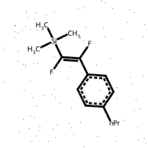 CCCc1ccc(/C(F)=C(\F)[Si](C)(C)C)cc1